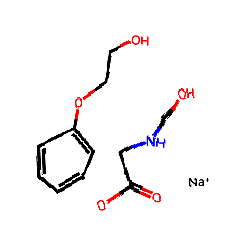 O=C([O-])CNCO.OCCOc1ccccc1.[Na+]